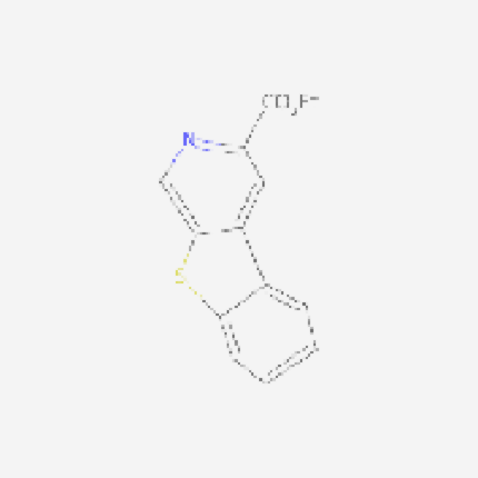 CCOC(=O)c1cc2c(cn1)sc1ccccc12